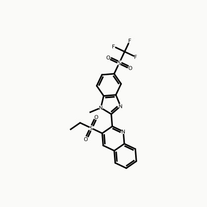 CCS(=O)(=O)c1cc2ccccc2nc1-c1nc2cc(S(=O)(=O)C(F)(F)F)ccc2n1C